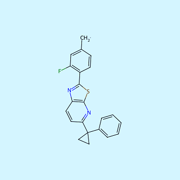 [CH2]c1ccc(-c2nc3ccc(C4(c5ccccc5)CC4)nc3s2)c(F)c1